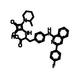 CC1CCCCN1c1c(NC(Cc2ccc(Nc3nc(-c4ccc(F)cc4)cc4ccccc34)cc2)C(=O)O)c(=O)c1=O